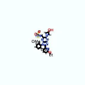 CCOc1cccc(-c2nc3nc(N4CC(O)C4)c(CN[SH](=O)=O)nc3n2-c2c(OC)cccc2OC)n1